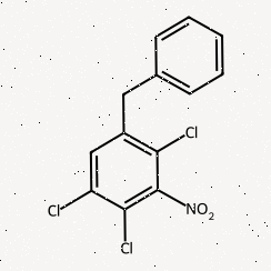 O=[N+]([O-])c1c(Cl)c(Cl)cc(Cc2ccccc2)c1Cl